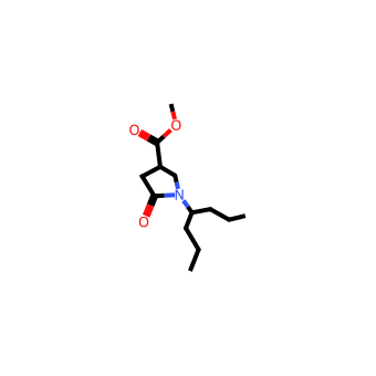 CCCC(CCC)N1CC(C(=O)OC)CC1=O